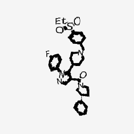 CCS(=O)(=O)c1ccc(CN2CCC(c3c(C(=O)N4CC[C@H](c5ccccc5)C4)cnn3-c3ccc(F)cc3)CC2)cc1